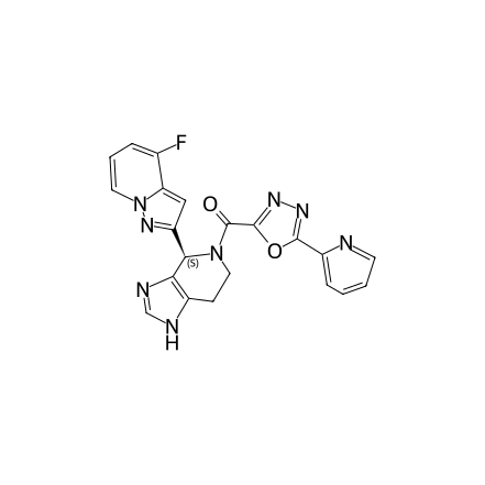 O=C(c1nnc(-c2ccccn2)o1)N1CCc2[nH]cnc2[C@H]1c1cc2c(F)cccn2n1